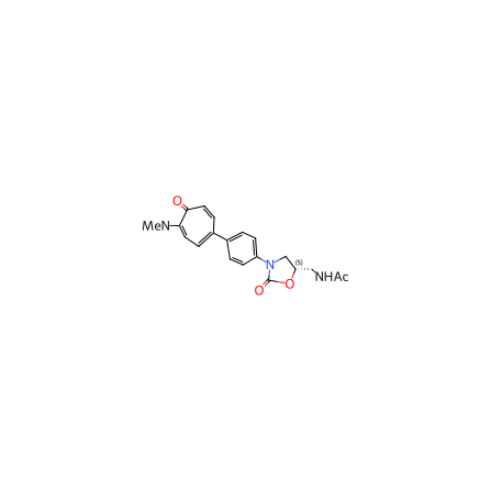 CNc1ccc(-c2ccc(N3C[C@H](CNC(C)=O)OC3=O)cc2)ccc1=O